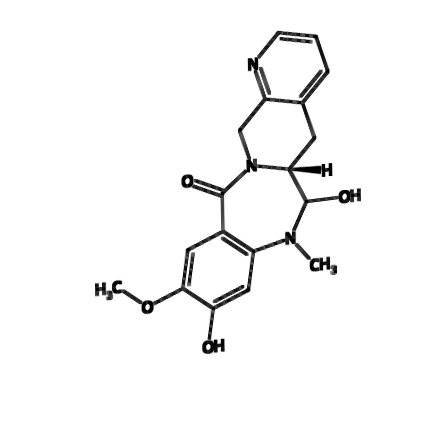 COc1cc2c(cc1O)N(C)C(O)[C@H]1Cc3cccnc3CN1C2=O